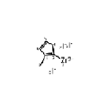 CC1=[C]([Zr+3])CC=C1.[I-].[I-].[I-]